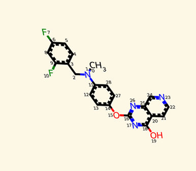 CN(Cc1ccc(F)cc1F)c1ccc(Oc2nc(O)c3ccncc3n2)cc1